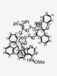 CONc1ncnc2c1ncn2[C@@]1(C(c2ccccc2)(c2ccccc2)c2ccccc2)C[C@H](OP(OCCC#N)N(C(C)C)C(C)C)[C@@H](COC(=O)c2ccccc2C(=O)Oc2ccccc2C#N)O1